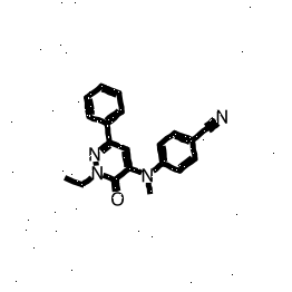 CCn1nc(-c2ccccc2)cc(N(C)c2ccc(C#N)cc2)c1=O